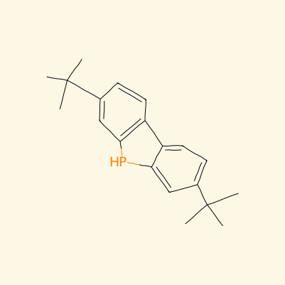 CC(C)(C)c1ccc2c(c1)[pH]c1cc(C(C)(C)C)ccc12